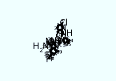 Cc1ccc(Cl)nc1NC(=O)[C@@H]1CC(C)(C)[C@@H](C)N1C(=O)Cn1c2ncnc(N)c2c2cc(C(F)(F)F)cc(C)c21